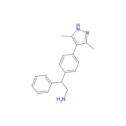 Cc1n[nH]c(C)c1-c1ccc(C(CN)c2ccccc2)cc1